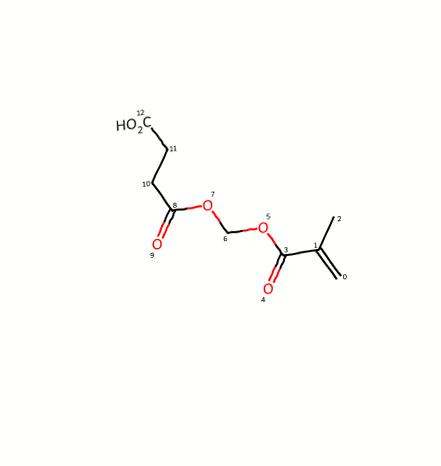 C=C(C)C(=O)OCOC(=O)CCC(=O)O